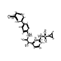 CCC(C(=O)Nc1ccc(-c2cncc(Cl)n2)cc1)c1ccnc(NS(=O)(=O)C2CC2)n1